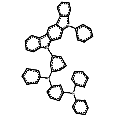 c1ccc(N(c2ccccc2)c2cccc(N(c3ccccc3)c3cccc(-n4c5ccccc5c5cc6c7ccccc7n(-c7ccccc7)c6cc54)c3)c2)cc1